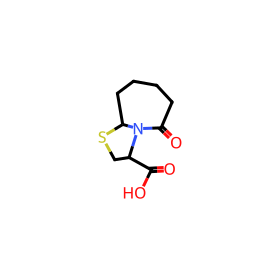 O=C(O)C1CSC2CCCCC(=O)N21